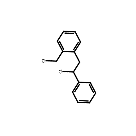 ClCc1ccccc1CC(Cl)c1ccccc1